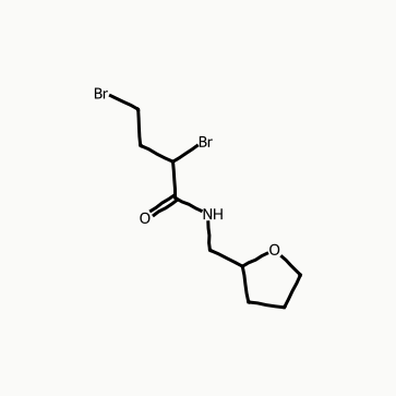 O=C(NCC1CCCO1)C(Br)CCBr